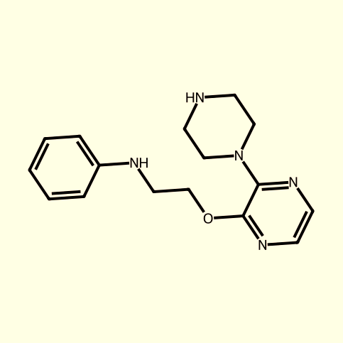 c1ccc(NCCOc2nccnc2N2CCNCC2)cc1